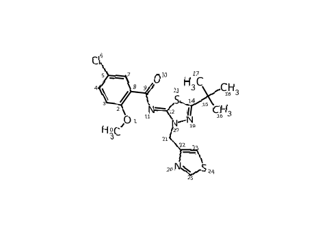 COc1ccc(Cl)cc1C(=O)N=c1sc(C(C)(C)C)nn1Cc1cscn1